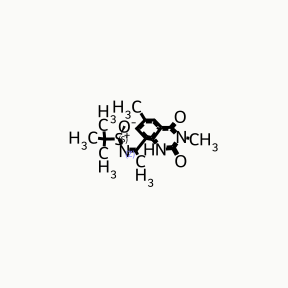 C/C(=N/[S@+]([O-])C(C)(C)C)c1cc(C)cc2c(=O)n(C)c(=O)[nH]c12